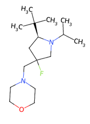 CC(C)N1CC(F)(CN2CCOCC2)C[C@H]1C(C)(C)C